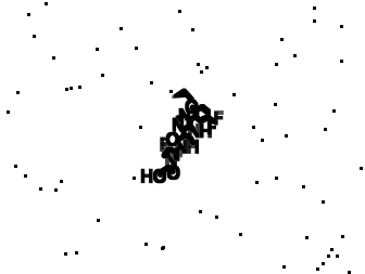 Cc1[nH]c2c(-c3cc(C(F)F)ccc3OCC3CC3)ncnc2c1C(=O)N[C@H]1CN(C(=O)CO)C[C@@H]1F